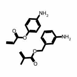 C=C(C)C(=O)OCc1cccc(N)c1.C=CC(=O)Oc1ccc(N)cc1